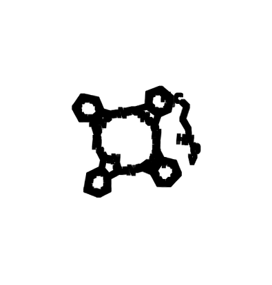 CCCCN[O][V].c1ccc2c(c1)-c1nc-2nc2[nH]c(nc3nc(nc4[nH]c(n1)c1ccccc41)-c1ccccc1-3)c1ccccc21